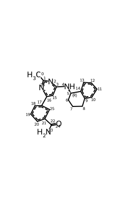 Cc1nc(N[C@@H]2CCCc3ccccc32)cc(-c2cccc(C(N)=O)c2)n1